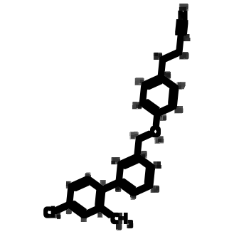 Cc1cc(Cl)ccc1-c1cccc(COc2ccc(CCC#N)cc2)c1